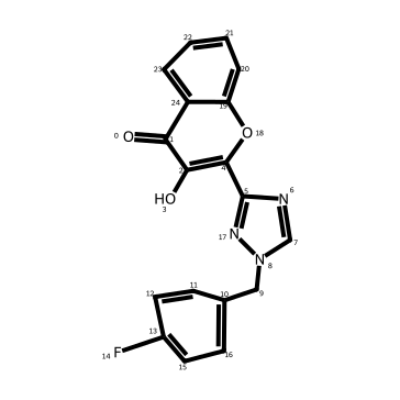 O=c1c(O)c(-c2ncn(Cc3ccc(F)cc3)n2)oc2ccccc12